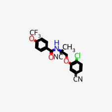 CC(C#N)(COc1cc(C#N)ccc1Cl)NC(=O)c1ccc(OC(F)(F)F)cc1